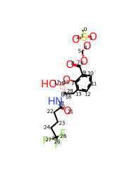 CS(=O)(=O)OCOC(=O)c1cccc2c1OB(O)[C@@H](NC(=O)CCCC(F)(F)F)C2